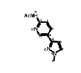 CC(=O)Nc1ccc(-c2ccn(C)n2)cn1